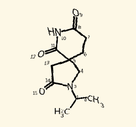 CC(C)N1CC2(CCC(=O)NC2=O)CC1=O